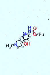 CN1CCC(O)(c2ccc(NC(=O)OC(C)(C)C)nc2)CC1